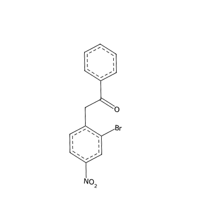 O=C(Cc1ccc([N+](=O)[O-])cc1Br)c1ccccc1